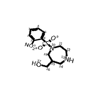 O=[N+]([O-])c1ccccc1S(=O)(=O)N1CCNCC(CO)C1